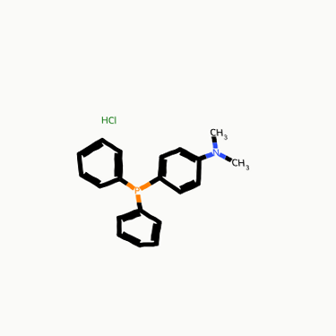 CN(C)c1ccc(P(c2ccccc2)c2ccccc2)cc1.Cl